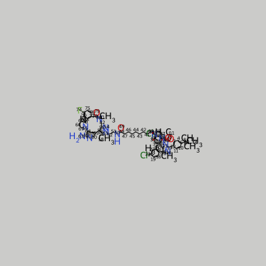 CCOc1cc(C(C)(C)C)ccc1C1=N[C@@](C)(c2ccc(Cl)cc2)[C@@](C)(c2ccc(Cl)cc2)N1C(=O)N1CCN(CCCCCCCCC(=O)NCCn2nc3c(c2C)-c2cnc(N)c(c2)N2CCC[C@@H]2c2cc(F)ccc2C(=O)N(C)C3)CC1